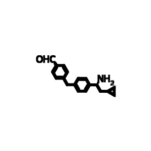 N[C@H](CC1CC1)c1ccc(Cc2ccc(C=O)cc2)cc1